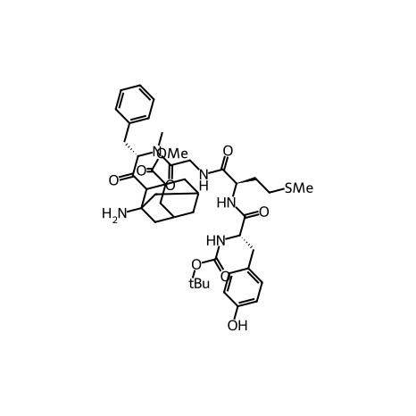 COC(=O)C12CC3CC(CC(N)(C3)C1C(=O)[C@H](Cc1ccccc1)N(C)C(=O)CNC(=O)[C@@H](CCSC)NC(=O)[C@H](Cc1ccc(O)cc1)NC(=O)OC(C)(C)C)C2